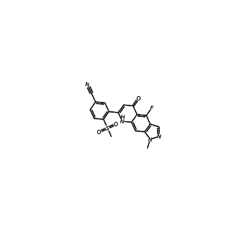 Cn1ncc2c(F)c3c(=O)cc(-c4cc(C#N)ccc4S(C)(=O)=O)[nH]c3cc21